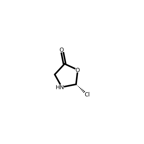 O=C1CN[C@@H](Cl)O1